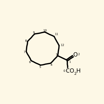 O=C(O)C(=O)C1CCCCCCCCC1